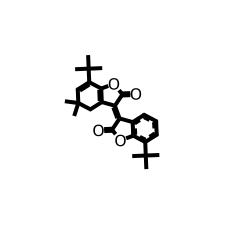 CC1(C)C=C(C(C)(C)C)C2=C(C1)C(=C1C(=O)Oc3c1cccc3C(C)(C)C)C(=O)O2